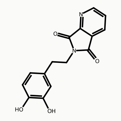 O=C1c2cccnc2C(=O)N1CCc1ccc(O)c(O)c1